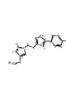 COCc1cn(CCc2csc(-c3ccc(Br)cc3)n2)nn1